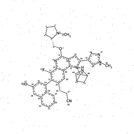 CN1CCC[C@H]1COc1nc2c(F)c(-c3cc(O)cc4ccccc34)c(CCC#N)cc2c2c1cc(-c1cnn(C)c1)n2C1C2CNC1C2